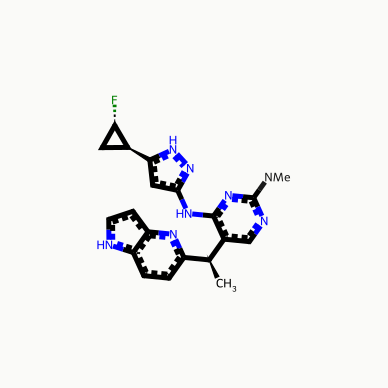 CNc1ncc([C@@H](C)c2ccc3[nH]ccc3n2)c(Nc2cc([C@H]3C[C@@H]3F)[nH]n2)n1